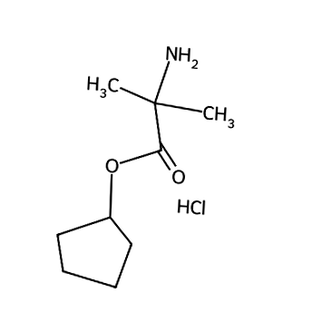 CC(C)(N)C(=O)OC1CCCC1.Cl